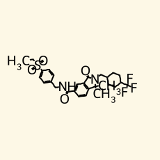 CCS(=O)(=O)c1ccc(CNC(=O)c2ccc3c(c2)C(=O)N(CC2CCC(C(F)(F)F)CC2)C3(C)C)cc1